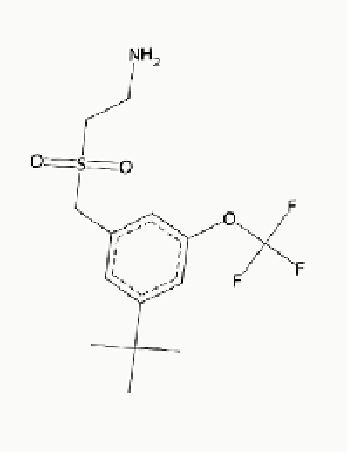 CC(C)(C)c1cc(CS(=O)(=O)CCN)cc(OC(F)(F)F)c1